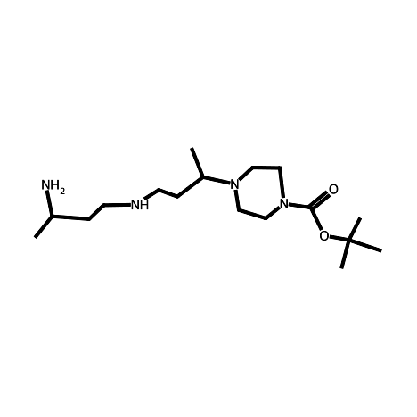 CC(N)CCNCCC(C)N1CCN(C(=O)OC(C)(C)C)CC1